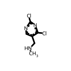 CNCc1cnc(Cl)nc1Cl